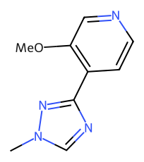 COc1cnccc1-c1ncn(C)n1